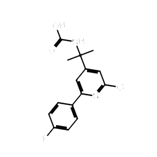 CC(C)(NC(=O)O)c1cc(Cl)nc(-c2ccc(F)cc2)c1